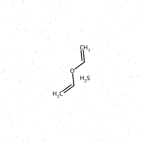 C=COC=C.S